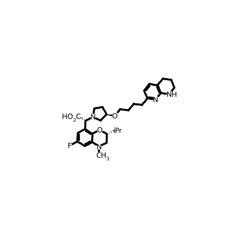 CC(C)[C@@H]1CN(C)c2cc(F)cc([C@H](C(=O)O)N3CC[C@@H](OCCCCc4ccc5c(n4)NCCC5)C3)c2O1